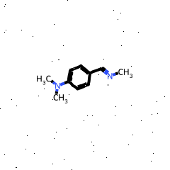 CN=Cc1ccc(N(C)C)cc1